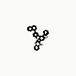 C1=CC2=Nc3c(c4cc5oc6ccccc6c5c5c6cc(-c7cccc8ccccc78)ccc6n3c45)NC2C=C1